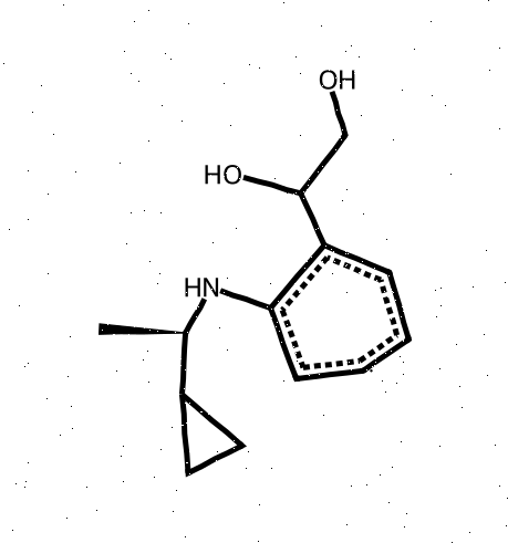 C[C@@H](Nc1c[c]ccc1C(O)CO)C1CC1